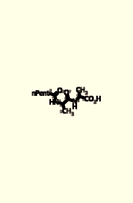 CCCCCC(=O)NC(C)C(=O)NC(C)C(=O)O